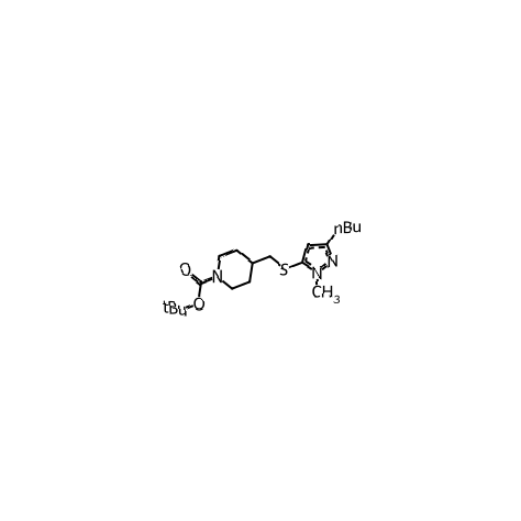 CCCCc1cc(SCC2CCN(C(=O)OC(C)(C)C)CC2)n(C)n1